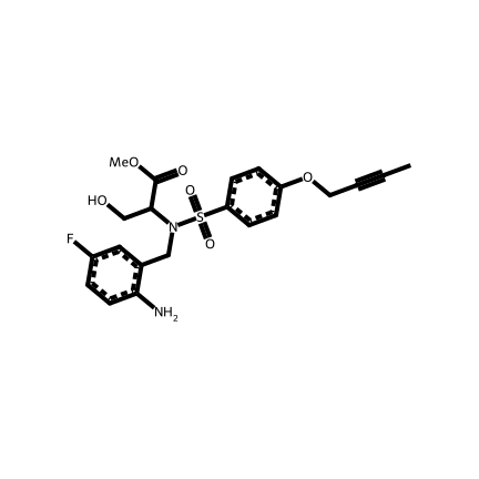 CC#CCOc1ccc(S(=O)(=O)N(Cc2cc(F)ccc2N)C(CO)C(=O)OC)cc1